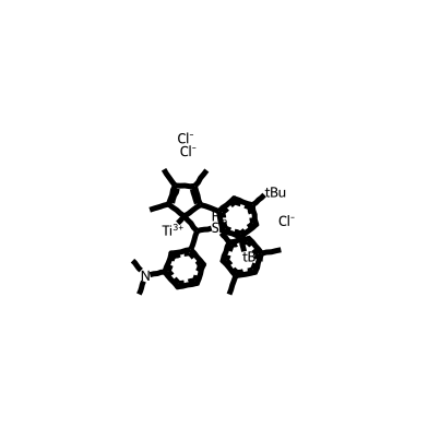 CC1=C(C)[C]([Ti+3])(C([SiH2]c2cc(C)cc(C)c2)c2cccc(N(C)C)c2)C(c2cc(C(C)(C)C)cc(C(C)(C)C)c2)=C1C.[Cl-].[Cl-].[Cl-]